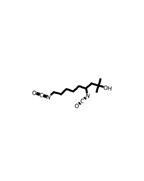 CC(C)(O)CC(CCCCCN=C=O)N=C=O